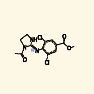 COC(=O)c1cc(Cl)c(/N=C2\NCCN2C(C)=O)c(Cl)c1